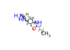 CCCCC(=O)Nc1ccc(NC(N)=S)cc1